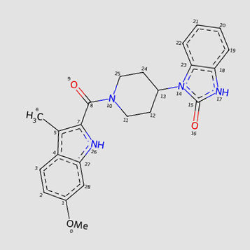 COc1ccc2c(C)c(C(=O)N3CCC(n4c(=O)[nH]c5ccccc54)CC3)[nH]c2c1